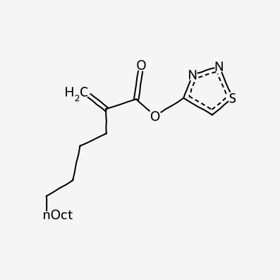 C=C(CCCCCCCCCCCC)C(=O)Oc1csnn1